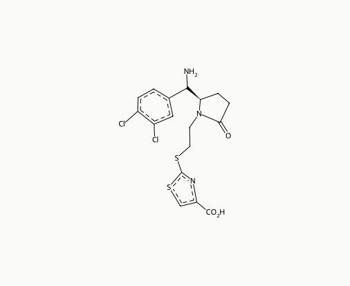 NC(c1ccc(Cl)c(Cl)c1)[C@H]1CCC(=O)N1CCSc1nc(C(=O)O)cs1